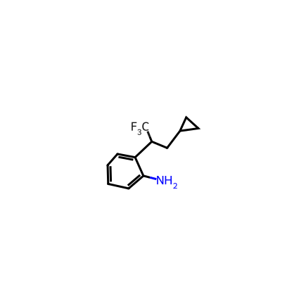 Nc1ccccc1C(CC1CC1)C(F)(F)F